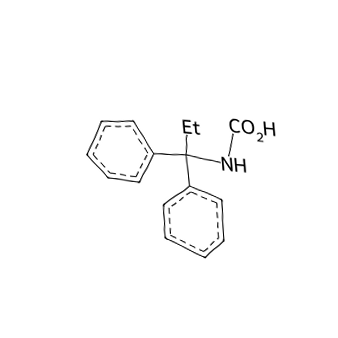 CCC(NC(=O)O)(c1ccccc1)c1ccccc1